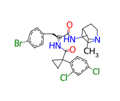 CC1C(NC(=O)[C@H](Cc2ccc(Br)cc2)NC(=O)C2(c3ccc(Cl)cc3Cl)CC2)C2CCN1CC2